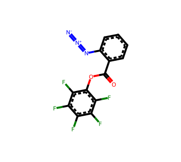 [N-]=[N+]=Nc1ccccc1C(=O)Oc1c(F)c(F)c(F)c(F)c1F